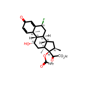 CCCC(=O)O[C@]1(C(=O)C(=O)O)[C@H](C)C[C@H]2[C@@H]3C[C@H](F)C4=CC(=O)C=C[C@]4(C)[C@H]3[C@@H](O)C[C@@]21C